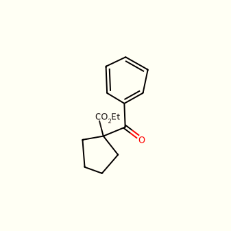 CCOC(=O)C1(C(=O)c2ccccc2)CCCC1